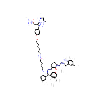 CCCCCCN1/C(=C/C=C2\CCCC(/C=C/C3=[N+](CCCCCC(=O)NCCCCCCCOc4ccc(-c5nn6c(CC)cc(CC)nc6c5CC(=O)N(CC)CC)cc4)c4ccc(S(=O)(=O)O)cc4C3(C)C)=C2Oc2ccc(S(=O)(=O)O)cc2)C(C)(C)c2cc(CC)ccc21